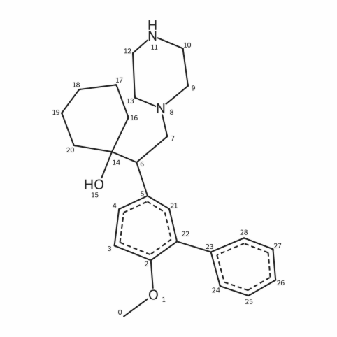 COc1ccc(C(CN2CCNCC2)C2(O)CCCCC2)cc1-c1ccccc1